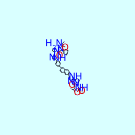 COC(=O)NC(C(=O)N1CCCC1c1ncc(-c2ccc3cc(-c4ccc(-c5cnc(C6CCCN6C(=O)C(c6ccccc6)N(C)C(=O)C(C)N)[nH]5)cc4)ccc3c2)[nH]1)C(C)C